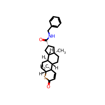 C[C@]12CC[C@H]3[C@@H](CC[C@H]4SC(=O)C=C[C@@]43C)[C@@H]1C[C@H](C(=O)NCc1ccccc1)C2